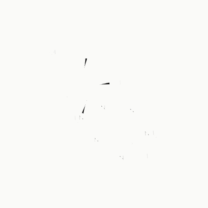 NC1(Cl)N=CN=C2C1=NCN2[C@]1(N)O[C@H](CO)[C@@H](O)[C@H]1O